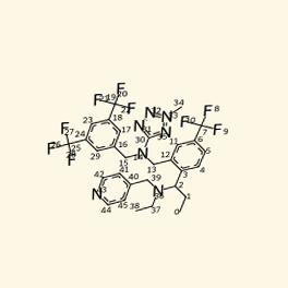 CCC(c1ccc(C(F)(F)F)cc1CN(Cc1cc(C(F)(F)F)cc(C(F)(F)F)c1)c1nnn(C)n1)N(CC)Cc1ccncc1